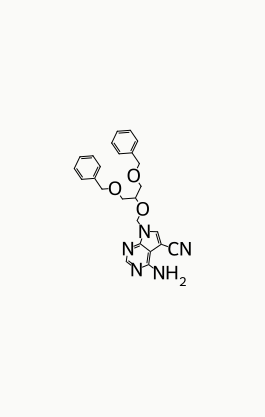 N#Cc1cn(COC(COCc2ccccc2)COCc2ccccc2)c2ncnc(N)c12